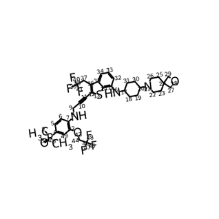 CP(C)(=O)c1ccc(NCC#Cc2sc3c(NC4CCC(N5CCC6(CC5)COC6)CC4)cccc3c2CC(F)(F)F)c(OCC(F)(F)F)c1